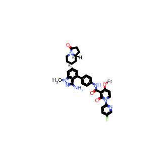 CCOc1ccn(-c2ccc(F)cn2)c(=O)c1C(=O)Nc1ccc(-c2cc([C@@H]3CCN4C(=O)CC[C@@H]4C3)cc3c2c(N)nn3C)cc1